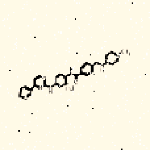 CN1CCN(NCc2ccc(C(=O)Nc3ccc(Nc4nccc(-c5cccnc5)n4)cc3)cc2)CC1.Cl